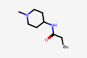 CCC(C)CC(=O)NC1CCN(C)CC1